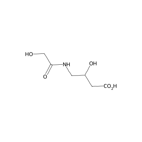 O=C(O)CC(O)CNC(=O)CO